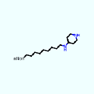 CCCCCCCCCCCCCCCCCCNC1CCNCC1